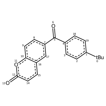 CC(C)(C)c1ccc(C(=O)c2ccc3oc(=O)ccc3c2)cc1